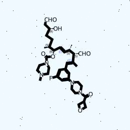 C/C(=C\c1cc(F)cc(N2CCN(C(=O)C3COC3)CC2)c1)[C@@H](C=O)[C@@H](C)/C=C/[C@H](OC(=O)N1CCN(C)CC1)[C@@H](C)CC[C@@H](O)CC=O